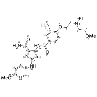 CCN(CCOC)CCOc1ccc(C(=O)Nc2sc(Nc3ccc(OC)cc3)nc2C(N)=O)cc1N